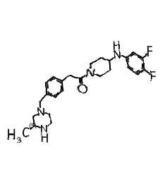 C[C@H]1CN(Cc2ccc(CC(=O)N3CCC(Nc4ccc(F)c(F)c4)CC3)cc2)CCN1